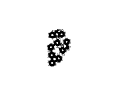 CC1(C)c2ccccc2N(c2cc(-c3cccc(-c4ccc5c6ccccc6c6ccccc6c5c4)c3)cc(N3c4ccccc4C(C)(C)c4ccccc43)c2)c2ccccc21